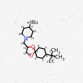 CCC(C)(C)C1CCC2(CC1)OCC(CN1CCC(C(C)(C)C)CC1)O2